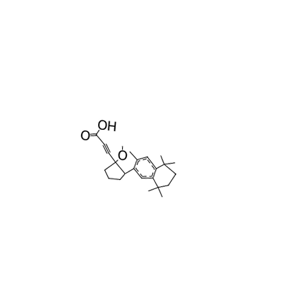 COC1(C#CC(=O)O)CCCC1c1cc2c(cc1C)C(C)(C)CCC2(C)C